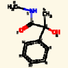 CNC(=O)C(C)(O)c1ccccc1